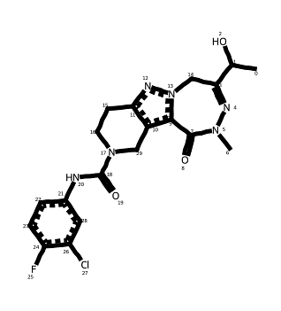 CC(O)C1=NN(C)C(=O)c2c3c(nn2C1)CCN(C(=O)Nc1ccc(F)c(Cl)c1)C3